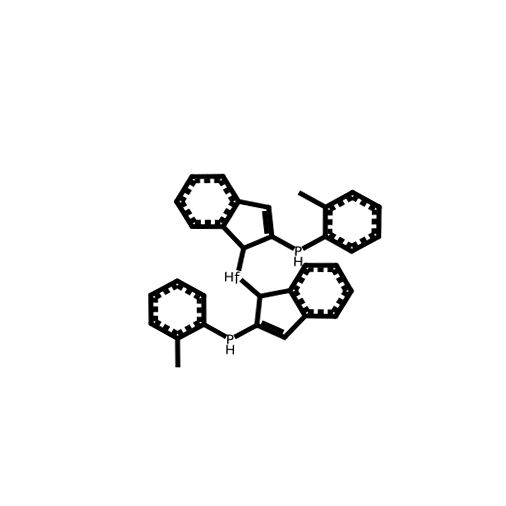 Cc1ccccc1PC1=Cc2ccccc2[CH]1[Hf][CH]1C(Pc2ccccc2C)=Cc2ccccc21